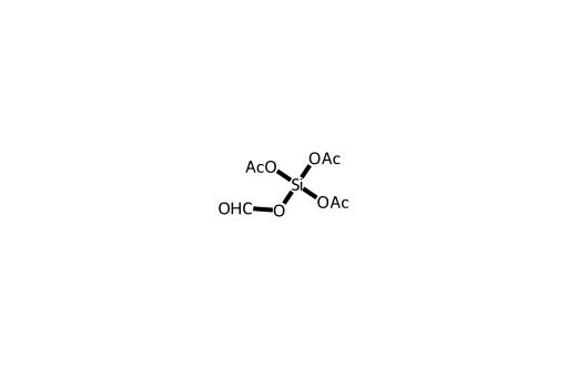 CC(=O)O[Si](OC=O)(OC(C)=O)OC(C)=O